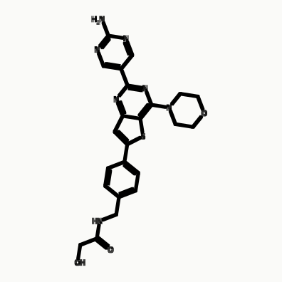 Nc1ncc(-c2nc(N3CCOCC3)c3sc(-c4ccc(CNC(=O)CO)cc4)cc3n2)cn1